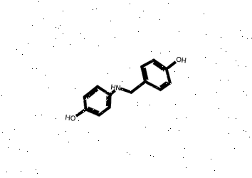 Oc1ccc(CNc2ccc(O)cc2)cc1